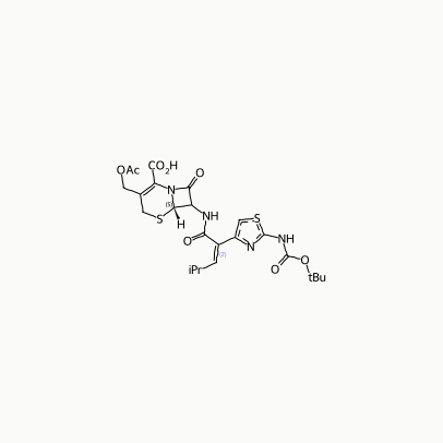 CC(=O)OCC1=C(C(=O)O)N2C(=O)C(NC(=O)/C(=C\C(C)C)c3csc(NC(=O)OC(C)(C)C)n3)[C@@H]2SC1